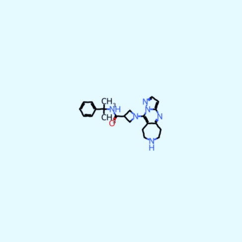 CC(C)(NC(=O)C1CN(c2c3c(nc4ccnn24)CCNCC3)C1)c1ccccc1